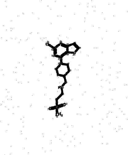 CS(=O)(=O)CCNCC1CCN(c2nc(Cl)nc3ccoc23)CC1